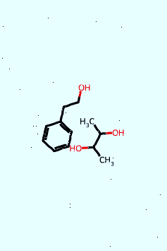 CC(O)C(C)O.OCCc1ccccc1